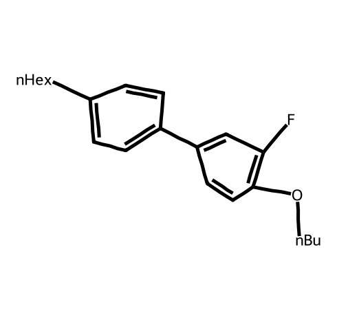 CCCCCCc1ccc(-c2ccc(OCCCC)c(F)c2)cc1